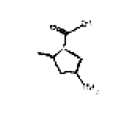 CC1CC(N)CN1C(=O)O